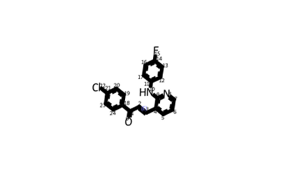 O=C(/C=C/c1cccnc1Nc1ccc(F)cc1)c1ccc(Cl)cc1